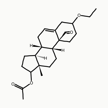 CCOC1CC[C@@]2(C=O)C(=CC[C@@H]3[C@H]2CC[C@]2(C)C(OC(C)=O)CC[C@@H]32)C1